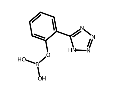 OB(O)Oc1ccccc1-c1nnn[nH]1